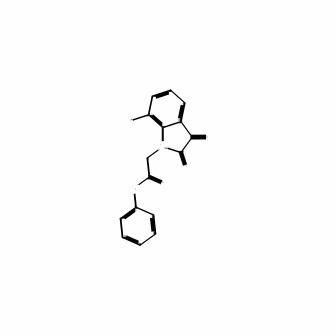 O=C(CN1C(=O)C(=O)c2cccc(Cl)c21)Nc1ccccc1